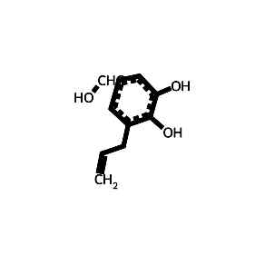 C=CCc1cccc(O)c1O.O=CO